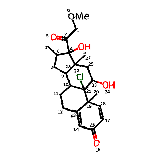 COCC(=O)C1(O)C(C)CC2C3CCC4=CC(=O)C=CC4(C)C3(Cl)C(O)CC21C